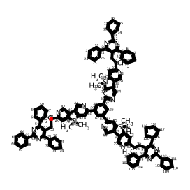 CC(Cc1c(-c2ccccc2)nc(-c2ccccc2)nc1-c1ccccc1)c1cc2c(cn1)-c1cnc(-c3cc(-c4cc5c(cn4)-c4cnc(C(C)Cc6c(-c7ccccc7)nc(-c7ccccc7)nc6-c6ccccc6)cc4[Si]5(C)C)cc(-c4cc5c(cn4)-c4cnc(C(C)Cc6c(-c7ccccc7)nc(-c7ccccc7)nc6-c6ccccc6)cc4[Si]5(C)C)c3)cc1[Si]2(C)C